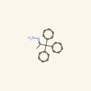 C/C(=N\N)C(c1ccccc1)(c1ccccc1)c1ccccc1